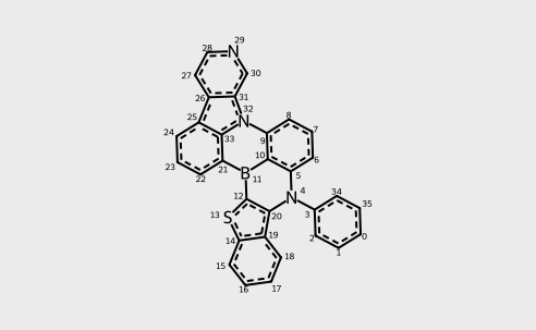 c1ccc(N2c3cccc4c3B(c3sc5ccccc5c32)c2cccc3c5ccncc5n-4c23)cc1